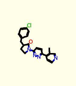 Cc1cnccc1-c1ccc(N2CCC(Cc3ccc(Cl)cc3)C2=O)nn1